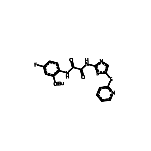 CC(C)COc1cc(F)ccc1NC(=O)C(=O)Nc1ncc(Sc2ccccn2)s1